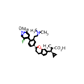 COc1cc(-c2ccc([C@H]3CCc4ccc([C@H](C5CC5)[C@H](C)C(=O)O)cc4O3)cc2CCN(C)C)c(F)cn1